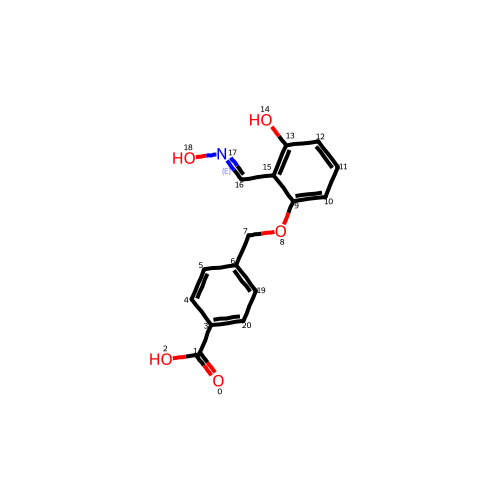 O=C(O)c1ccc(COc2cccc(O)c2/C=N/O)cc1